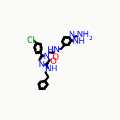 Nc1nc2ccc(CNC(=O)Cn3c(-c4ccc(Cl)cc4)cnc(NCCc4ccccc4)c3=O)cc2[nH]1